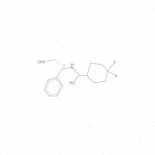 O=CC[C@H](NC(O)C1CCC(F)(F)CC1)c1ccccc1